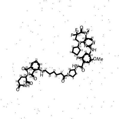 COc1cc(C(=O)N[C@H]2CCN(C(=O)CCCCCNc3cccc4c3C(=O)N(C3CCC(=O)NC3=O)C4=O)C2)c(F)cc1Nc1ncc2c(n1)N(C1CCCC1)CC(F)(F)C(=O)N2C